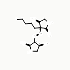 CCCCCC1(N=NC2C(=O)COC2=O)C(=O)COC1=O